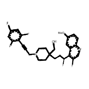 COc1ccc2ncc(F)c([C@@H](F)CCC3(CO)CCN(CC#Cc4c(F)cc(F)cc4F)CC3)c2c1